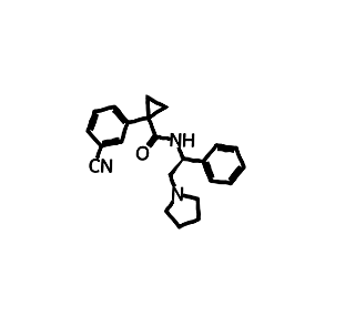 N#Cc1cccc(C2(C(=O)N[C@H](CN3CCCC3)c3ccccc3)CC2)c1